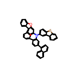 c1ccc(-c2ccc(-c3cccc4ccccc34)cc2N(c2ccc3c(c2)oc2ccccc23)c2ccc3sc4ccccc4c3c2)cc1